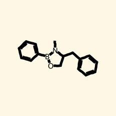 CN1B(c2ccccc2)OCC1Cc1ccccc1